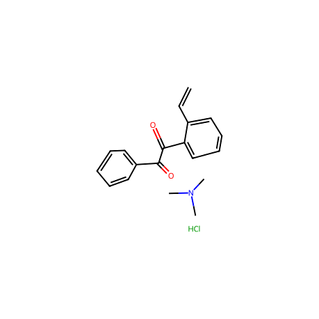 C=Cc1ccccc1C(=O)C(=O)c1ccccc1.CN(C)C.Cl